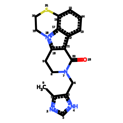 Cc1nc[nH]c1CN1CCc2c(c3cccc4c3n2CCS4)C1=O